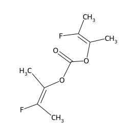 CC(F)=C(C)OC(=O)OC(C)=C(C)F